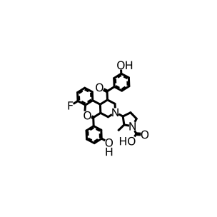 Cc1c(F)cccc1C1C(C(=O)c2cccc(O)c2)CN(C2CCN(C(=O)O)C2C)CC1C(=O)c1cccc(O)c1